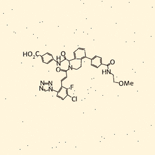 COCCNC(=O)c1ccc(-c2cccc3c2CCN(C(=O)C=Cc2c(-n4cnnn4)ccc(Cl)c2F)C3C(=O)Nc2ccc(C(=O)O)cc2)cc1